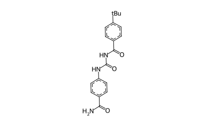 CC(C)(C)c1ccc(C(=O)NC(=O)Nc2ccc(C(N)=O)cc2)cc1